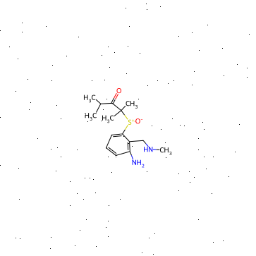 CNCc1c(N)[c]ccc1[S+]([O-])C(C)(C)C(=O)C(C)C